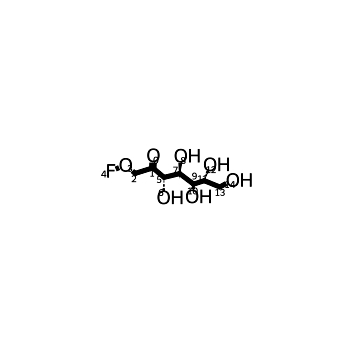 O=C(COF)[C@@H](O)[C@@H](O)[C@H](O)[C@H](O)CO